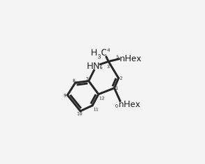 CCCCCCC1=CC(C)(CCCCCC)Nc2ccccc21